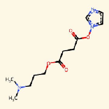 CN(C)CCCOC(=O)CCC(=O)On1ccnc1